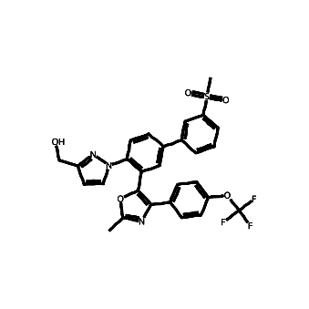 Cc1nc(-c2ccc(OC(F)(F)F)cc2)c(-c2cc(-c3cccc(S(C)(=O)=O)c3)ccc2-n2ccc(CO)n2)o1